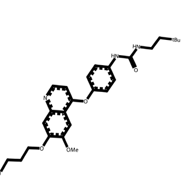 COc1cc2c(Oc3ccc(NC(=O)NCCC(C)(C)C)cc3)ccnc2cc1OCCCCl